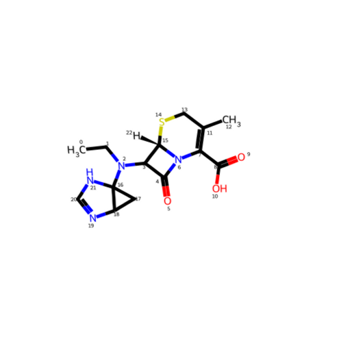 CCN(C1C(=O)N2C(C(=O)O)=C(C)CS[C@@H]12)C12CC1N=CN2